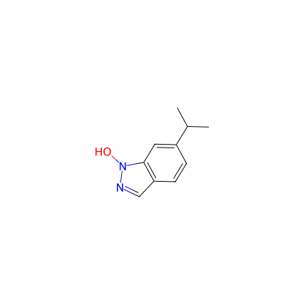 CC(C)c1ccc2cnn(O)c2c1